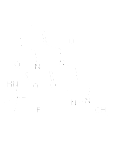 Cn1cc(Cn2c(=O)c3ccccc3n(S(=O)(=O)NC3(CF)CC3)c2=O)cn1